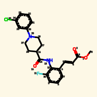 COC(=O)/C=C/c1cccc(F)c1NC(=O)C1CCN(c2cccc(Cl)c2)CC1